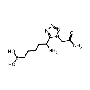 NC(=O)Cn1nnnc1C(N)CCCCB(O)O